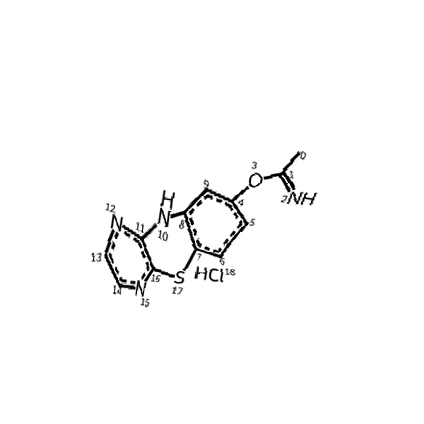 CC(=N)Oc1ccc2c(c1)Nc1nccnc1S2.Cl